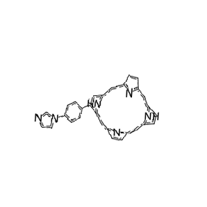 C1=Cc2cc3cc(-c4ccc(-n5ccnc5)cc4)c(cc4nc(cc5ccc(cc1n2)[nH]5)C=C4)[nH]3